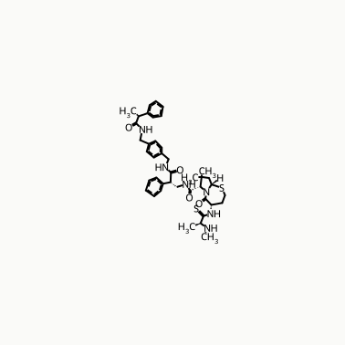 CN[C@@H](C)C(=S)N[C@H]1CCS[C@H]2CC(C)(C)[C@@H](C(=O)NC[C@@H](C(=O)NCc3ccc(CNC(=O)[C@@H](C)c4ccccc4)cc3)c3ccccc3)N2C1=O